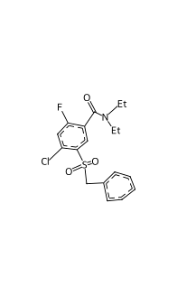 CCN(CC)C(=O)c1cc(S(=O)(=O)Cc2ccccc2)c(Cl)cc1F